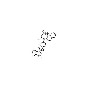 O=C1CC(=O)N(c2ccc(NS(=O)(=O)c3ccccc3C(F)(F)F)cc2)c2ccc3ccccc3c2N1